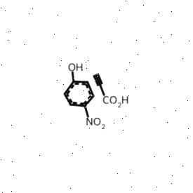 C#CC(=O)O.O=[N+]([O-])c1ccc(O)cc1